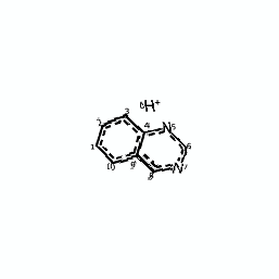 [H+].c1ccc2ncncc2c1